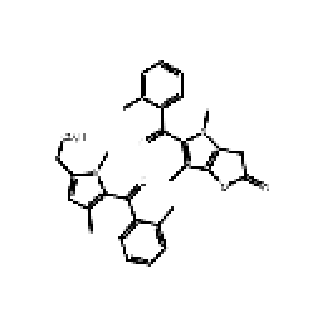 Cc1ccccc1C(=O)c1c(C)c2c(n1C)CC(=O)O2.Cc1ccccc1C(=O)c1c(C)cc(CC(=O)O)n1C